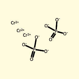 O=P([O-])([O-])[O-].O=P([O-])([O-])[O-].[Cr+2].[Cr+2].[Cr+2]